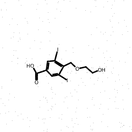 O=C(O)c1cc(I)c(COCCO)c(I)c1